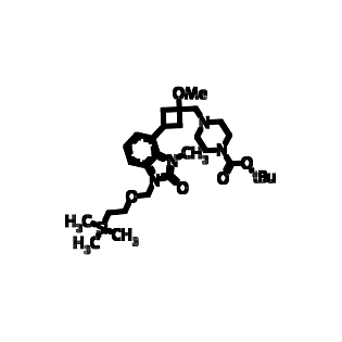 COC1(CN2CCN(C(=O)OC(C)(C)C)CC2)CC(c2cccc3c2n(C)c(=O)n3COCC[Si](C)(C)C)C1